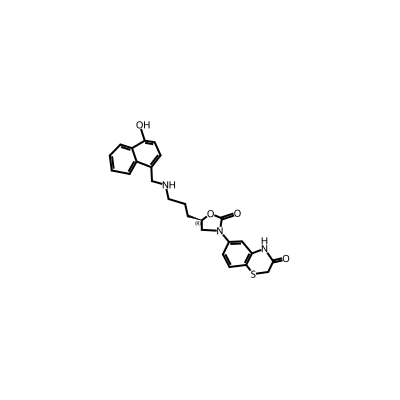 O=C1CSc2ccc(N3C[C@@H](CCCNCc4ccc(O)c5ccccc45)OC3=O)cc2N1